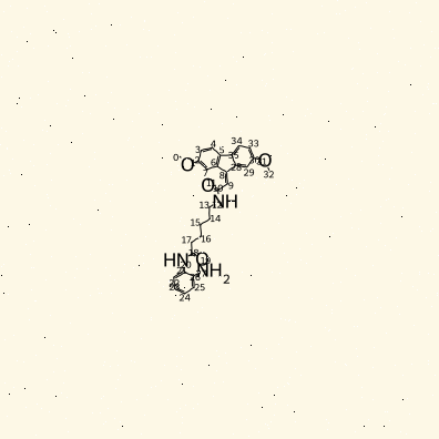 COc1ccc2c(c1)C(=CC(=O)NCCCCCC(=O)Nc1ccccc1N)c1cc(OC)ccc1-2